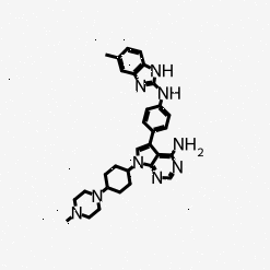 Cc1ccc2[nH]c(Nc3ccc(-c4cn(C5CCC(N6CCN(C)CC6)CC5)c5ncnc(N)c45)cc3)nc2c1